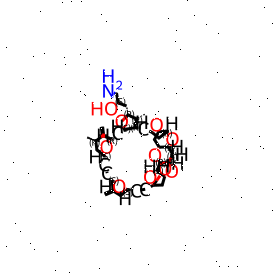 C=C1C[C@@H]2CCC34CC5O[C@H]6[C@@H](O3)[C@H]3O[C@H](CCC3O[C@H]6[C@H]5O4)CC(=O)C[C@@H]3[C@@H](C)[C@@H](C[C@H](O)CN)O[C@H]3C[C@H]3O[C@@H](CC[C@@H]1O2)C[C@@H](C)C3=C